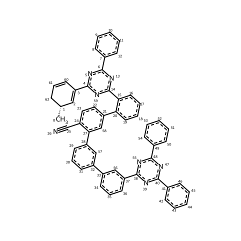 C[C@H]1C=C(c2nc(-c3ccccc3)nc(-c3ccccc3-c3ccc(C#N)c(-c4cccc(-c5cccc(-c6nc(-c7ccccc7)nc(-c7ccccc7)n6)c5)c4)c3)n2)C=CC1